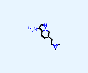 CN(C)CCc1ccc2c(N)cnn2c1